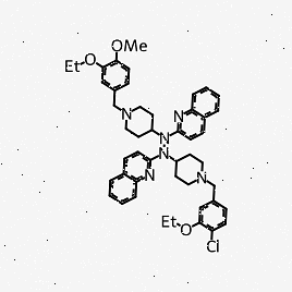 CCOc1cc(CN2CCC(N(c3ccc4ccccc4n3)N(c3ccc4ccccc4n3)C3CCN(Cc4ccc(OC)c(OCC)c4)CC3)CC2)ccc1Cl